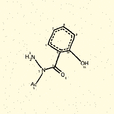 CC(=O)N(N)C(=O)c1ccccc1O